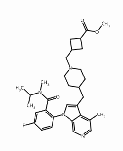 COC(=O)C1CC(CN2CCC(Cc3cn(-c4ccc(F)cc4C(=O)N(C)C(C)C)c4cncc(C)c34)CC2)C1